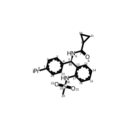 CC(C)c1ccc([C@@H](NC(=O)C2CC2)c2ccccc2NS(C)(=O)=O)cc1